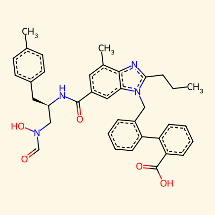 CCCc1nc2c(C)cc(C(=O)N[C@H](Cc3ccc(C)cc3)CN(O)C=O)cc2n1Cc1ccccc1-c1ccccc1C(=O)O